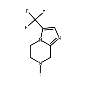 FC(F)(F)c1cnc2n1CCN(I)C2